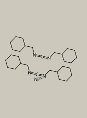 C(=NCC1CCCCC1)=NCC1CCCCC1.C(=NCC1CCCCC1)=NCC1CCCCC1.[Ni+2]